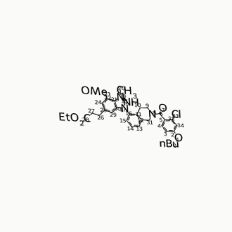 CCCCOc1ccc(C(=O)N2CCc3c(cccc3N3NN(C)c4c(OC)cc(CCC(=O)OCC)cc43)C2)c(Cl)c1